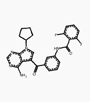 Nc1ncnc2c1c(C(=O)c1cccc(NC(=O)c3c(F)cccc3F)c1)cn2C1CCCC1